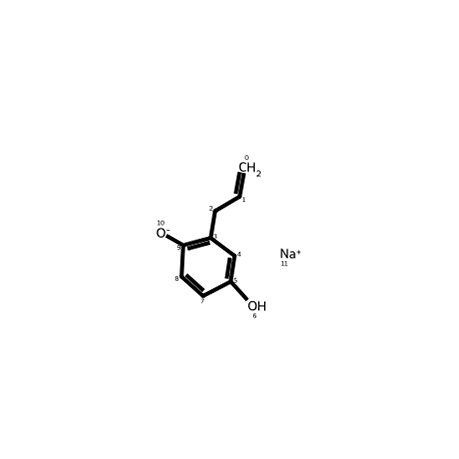 C=CCc1cc(O)ccc1[O-].[Na+]